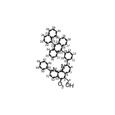 COc1c(CO)c2ccc(-c3cccc(-c4c5ccccc5c(-c5cccc6ccccc56)c5ccccc45)c3)nc2c2nc(-c3ccccc3)ccc12